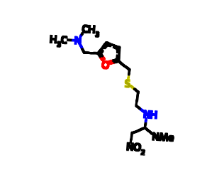 CNC(C[N+](=O)[O-])NCCSCc1ccc(CN(C)C)o1